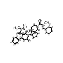 C[C@H](CC1CCCCC1)C(=O)N1CC[C@](O)(Cn2cc(C(=O)N(C)C)c(-c3ccccc3)cc2=O)C2(CCCC2)C1